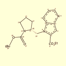 CCOC(=O)c1cc2ncccc2n1C[C@H]1CCCN1C(=O)OC(C)(C)C